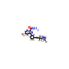 COc1ccn2c(C(N)=O)nc(-c3cccc(C#CC(C)(C)c4nnc(C)o4)c3)c2c1